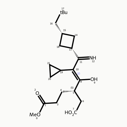 COC(=O)CC[C@@H](CC(=O)O)/C(O)=C(/C(=N)[C@H]1C[C@@H](CC(C)(C)C)C1)C1CC1